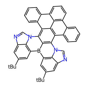 CC(C)(C)c1cc2c3c(c1)ncn3-c1c3c(c4c5ccccc5c5cccc6c7ccccc7c1c4c65)-n1cnc4cc(C(C)(C)C)cc(c41)B32